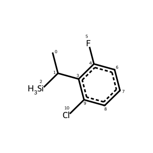 CC([SiH3])c1c(F)cccc1Cl